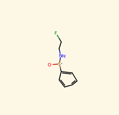 [O-][S+](NCCF)c1ccccc1